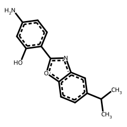 CC(C)c1ccc2oc(-c3ccc(N)cc3O)nc2c1